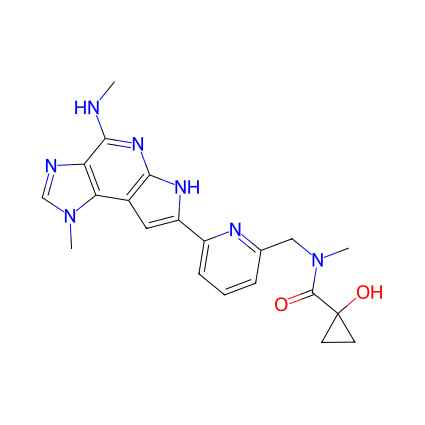 CNc1nc2[nH]c(-c3cccc(CN(C)C(=O)C4(O)CC4)n3)cc2c2c1ncn2C